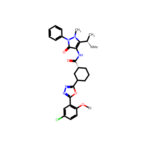 CCOc1ccc(Cl)cc1-c1nnc(C2CCC[C@@H](C(=O)Nc3c([C@H](C)NC)n(C)n(-c4ccccc4)c3=O)C2)o1